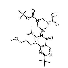 COCCCNc1nc(C(C)(C)C)ncc1C(=O)N(CC(C)C)[C@H]1C[C@@H](C(=O)O)CN(C(=O)OC(C)(C)C)C1